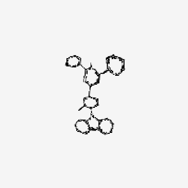 Cc1cc(-c2cc(-c3ccccc3)nc(-c3ccccc3)n2)ccc1-n1c2ccccc2c2ccccc21